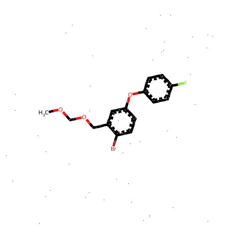 COCOCc1cc(Oc2ccc(F)cc2)ccc1Br